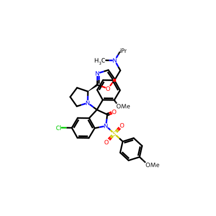 COc1ccc(S(=O)(=O)N2C(=O)C(c3ccc(CN(C)C(C)C)cc3OC)(N3CCC[C@H]3c3ncco3)c3cc(Cl)ccc32)cc1